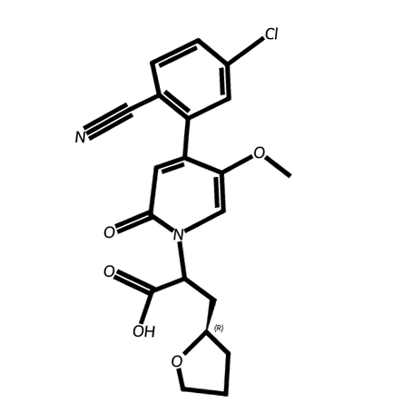 COc1cn(C(C[C@H]2CCCO2)C(=O)O)c(=O)cc1-c1cc(Cl)ccc1C#N